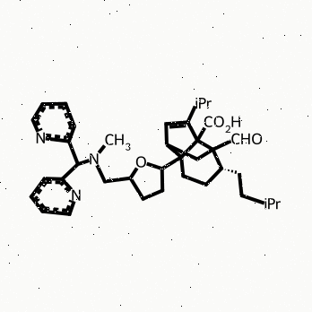 CC(C)CC[C@@H]1CCC2(C3CCC(CN(C)C(c4ccccn4)c4ccccn4)O3)C3C=C(C(C)C)C2(C(=O)O)C1(C=O)C3